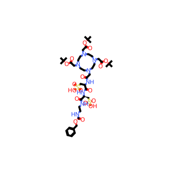 CC(C)(C)OC(=O)CN1CCN(CC(=O)NC(CS(=O)(=O)O)C(=O)N[C@@H](CS(=O)(=O)O)C(=O)NCCNC(=O)OCc2ccccc2)CCN(CC(=O)OC(C)(C)C)CCN(CC(=O)OC(C)(C)C)CC1